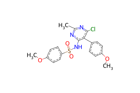 COc1ccc(-c2c(Cl)nc(C)nc2NS(=O)(=O)c2ccc(OC)cc2)cc1